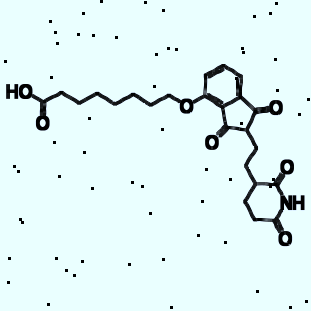 O=C(O)CCCCCCCOc1cccc2c1C(=O)C(CCC1CCC(=O)NC1=O)C2=O